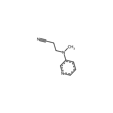 CN(CCC#N)c1cccnc1